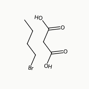 CCCCBr.O=C(O)CC(=O)O